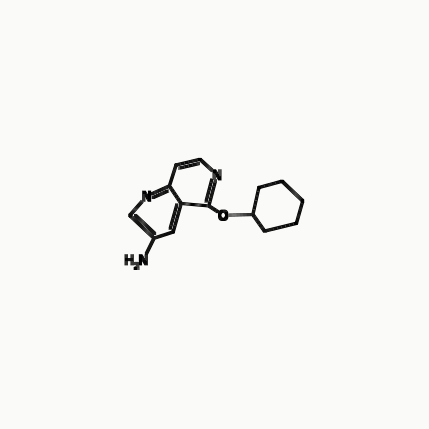 Nc1cnc2ccnc(OC3CCCCC3)c2c1